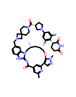 Cc1cc2cc(n1)-c1cnn(C)c1OCCC[C@@H](C)CN1/C(=N/C2=O)Nc2ccc(CN3CC4(CCN(C(=O)[C@@H]5CCN(c6cc(F)c([C@H]7CCC(=O)NC7=O)c(F)c6)C5)CC4)C3)cc21